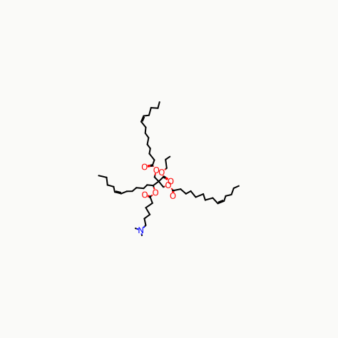 CCCC/C=C\CCCCCCCC(=O)OCC(COC(=O)CCCCCCC/C=C\CCCC)(C(=O)OCCC)C(CCCCC/C=C\CCCC)OC(=O)CCCCCN(C)C